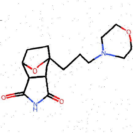 O=C1NC(=O)C2C1C1CCC2(CCCN2CCOCC2)O1